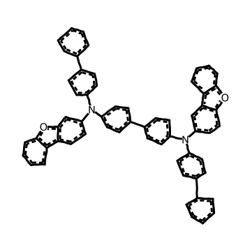 c1ccc(-c2ccc(N(c3ccc(-c4ccc(N(c5ccc(-c6ccccc6)cc5)c5ccc6oc7ccccc7c6c5)cc4)cc3)c3ccc4c(c3)oc3ccccc34)cc2)cc1